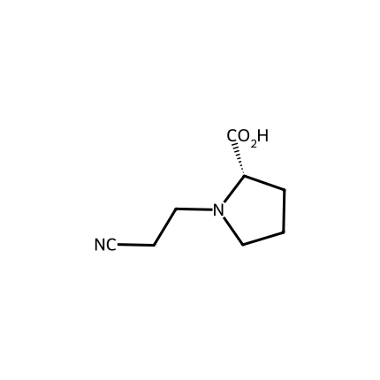 N#CCCN1CCC[C@H]1C(=O)O